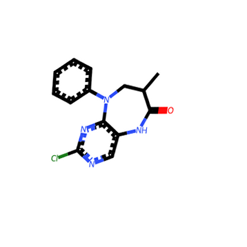 CC1CN(c2ccccc2)c2nc(Cl)ncc2NC1=O